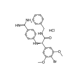 COc1cc([C@@H](Nc2ccc(C(=N)N)cc2)C(=O)NCc2ccccc2)cc(OC)c1Br.Cl